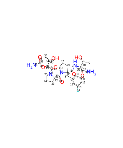 C[C@@H](O)[C@H](NC(=O)[C@@]1(Cc2cccc(F)c2)CCCN1C(=O)C1CCCN1C(=O)[C@@H](OC(N)=O)[C@@H](C)O)C(N)=O